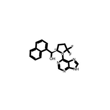 OC(c1cccc2ccccc12)[C@H]1CCC(F)(F)N1c1ncnc2[nH]cnc12